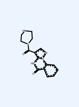 O=C(c1cnn2c1[nH]c(=O)c1ccccc12)N1CCNCC1